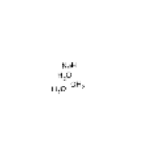 O.O.O.[NaH]